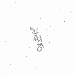 CC[C@H]1O[C@@H](n2cnc3c(On4nnc5ccccc54)ncnc32)[C@@H](C)C1C